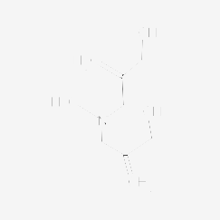 C=C(CC)CN(C)CC(=C)CC